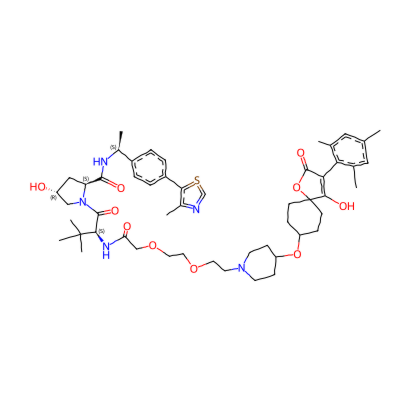 Cc1cc(C)c(C2=C(O)C3(CCC(OC4CCN(CCOCCOCC(=O)N[C@H](C(=O)N5C[C@H](O)C[C@H]5C(=O)N[C@@H](C)c5ccc(-c6scnc6C)cc5)C(C)(C)C)CC4)CC3)OC2=O)c(C)c1